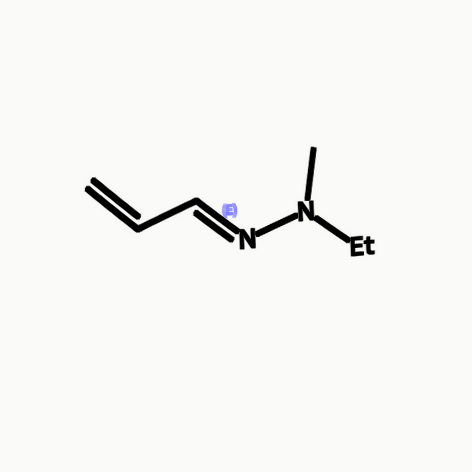 C=C/C=N/N(C)CC